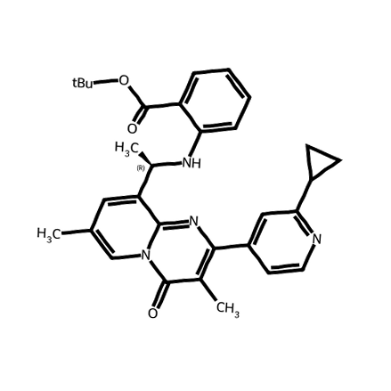 Cc1cc([C@@H](C)Nc2ccccc2C(=O)OC(C)(C)C)c2nc(-c3ccnc(C4CC4)c3)c(C)c(=O)n2c1